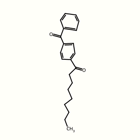 CCCCCCCCC(=O)c1ccc(C(=O)c2ccccc2)cc1